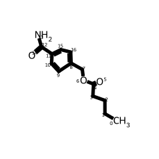 CCCCC(=O)OCc1ccc(C(N)=O)cc1